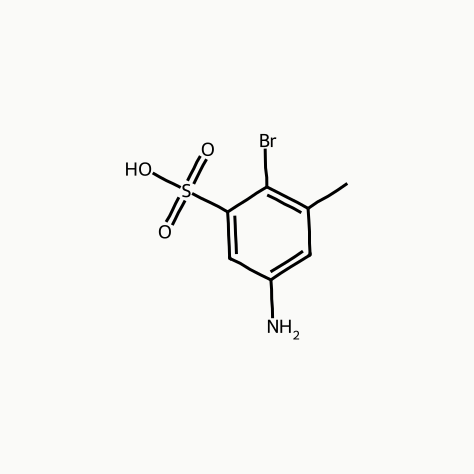 Cc1cc(N)cc(S(=O)(=O)O)c1Br